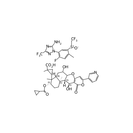 CC1(C(=O)O)CC1C1(C)[C@@H](OC(=O)C2CC2)CC[C@]2(C)[C@@H]3C(Oc4cc(-c5cccnc5)oc(=O)c4[C@H]3O)C(O)C[C@@H]12.Cc1cc(F)c(-n2nc(C(F)(F)F)nc2N)cc1[S+]([O-])CC(F)(F)F